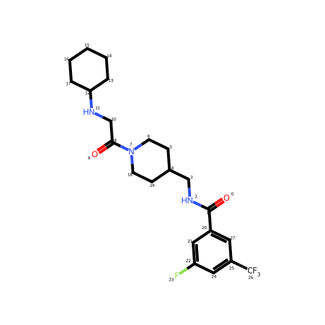 O=C(NCC1CCN(C(=O)CNC2CCCCC2)CC1)c1cc(F)cc(C(F)(F)F)c1